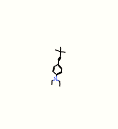 CCN(CC)c1ccc(C#CC(C)(C)C)cc1